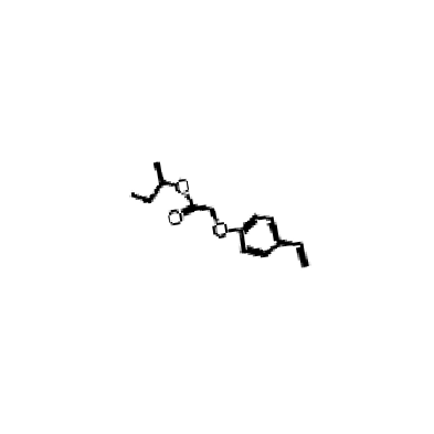 C=Cc1ccc(OCC(=O)OC(C)CC)cc1